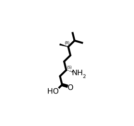 CC(C)[C@H](C)CC[C@H](N)CC(=O)O